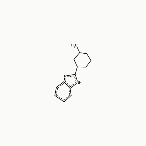 CC1CCCC(c2nc3ccccc3[nH]2)C1